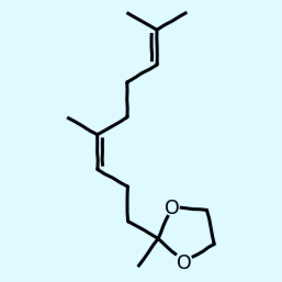 CC(C)=CCC/C(C)=C\CCC1(C)OCCO1